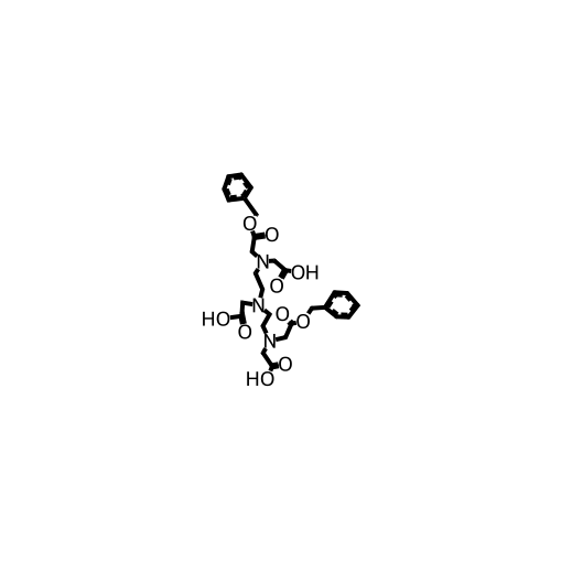 O=C(O)CN(CCN(CC(=O)O)CC(=O)OCc1ccccc1)CCN(CC(=O)O)CC(=O)OCc1ccccc1